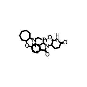 CC(C)CNC1CCCCCC1Oc1ccc2c(c1)CN(C1CCC(=O)NC1=O)C2=O